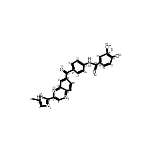 Cc1cnc(-c2cnc3ccc(C(=O)c4ccc(NC(=O)c5ccc(Cl)c(C(F)(F)F)c5)cc4)cc3n2)[nH]1